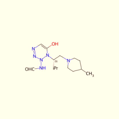 CC1CCN(C[C@H](C(C)C)N2C(O)=CN=NN2NC=O)CC1